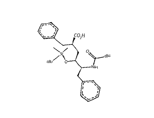 CC(C)(C)C(=O)N[C@@H](Cc1ccccc1)[C@H](C[C@@H](Cc1ccccc1)C(=O)O)O[Si](C)(C)C(C)(C)C